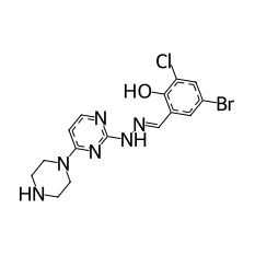 Oc1c(Cl)cc(Br)cc1/C=N/Nc1nccc(N2CCNCC2)n1